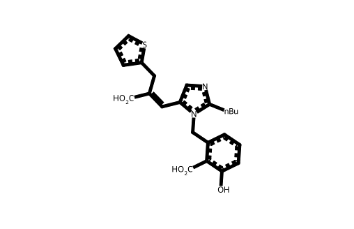 CCCCc1ncc(C=C(Cc2cccs2)C(=O)O)n1Cc1cccc(O)c1C(=O)O